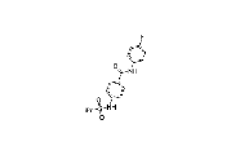 CC(C)S(=O)(=O)Nc1ccc(C(=O)Nc2ccc(F)cc2)cc1